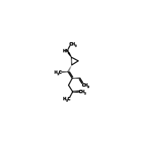 C=C/C(CC(=C)C)=C(/C)[C@H]1C[C@@H]1NC